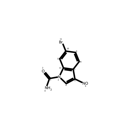 NC(=O)n1cc(N=O)c2ccc(Br)cc21